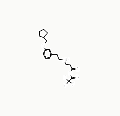 O=C(CCNCCc1cccc(OCC2CCCC2)c1)OC(=O)C(F)(F)F